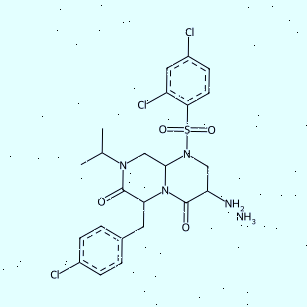 CC(C)N1CC2N(C(=O)C(N)CN2S(=O)(=O)c2ccc(Cl)cc2Cl)C(Cc2ccc(Cl)cc2)C1=O.N